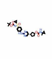 CC1(NC(=O)O[C@@H]2CC[C@H](c3cnc(Nc4ccc(S(=O)(=NC(=O)OC(C)(C)C)C5CC5)cc4)nc3)C2)CC1